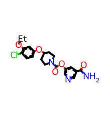 CCOc1cc(OC2CCN(C(=O)Oc3cncc(C(N)=O)c3)CC2)ccc1Cl